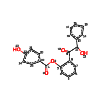 O=C(Oc1ccccc1C(=O)C(O)c1ccccc1)c1ccc(O)cc1